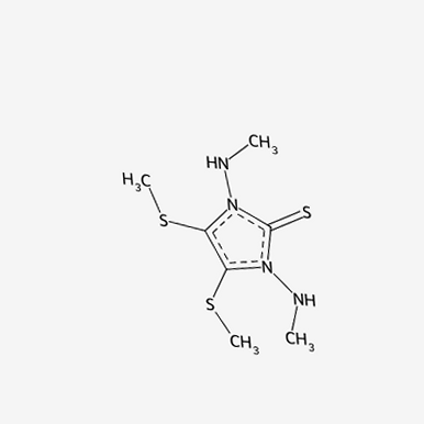 CNn1c(SC)c(SC)n(NC)c1=S